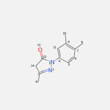 CC1=NN(c2ccc(C)c(C)c2)C(=O)C1